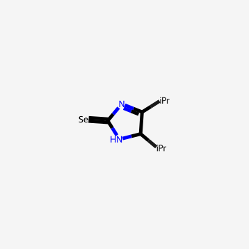 CC(C)C1=NC(=[Se])NC1C(C)C